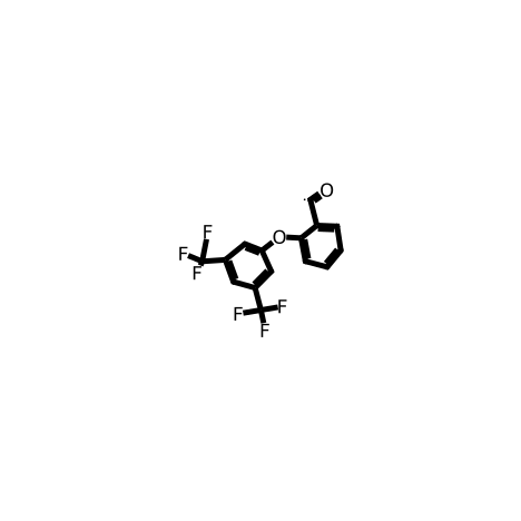 O=[C]c1ccccc1Oc1cc(C(F)(F)F)cc(C(F)(F)F)c1